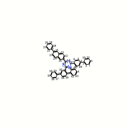 c1ccc(-c2ccc(-c3nc(-c4ccc5cc(-c6ccccc6)ccc5c4)nc(-c4cc(-c5ccccc5)ccc4-c4ccccc4)n3)cc2)cc1